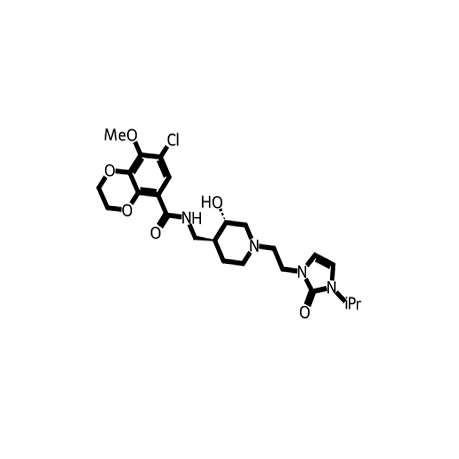 COc1c(Cl)cc(C(=O)NC[C@@H]2CCN(CCn3ccn(C(C)C)c3=O)C[C@H]2O)c2c1OCCO2